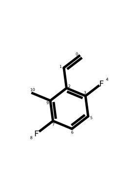 C=Cc1c(F)ccc(F)c1C